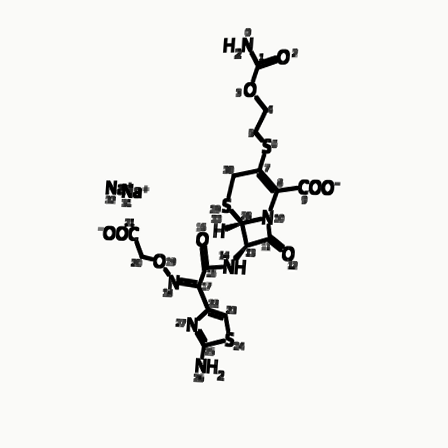 NC(=O)OCCSC1=C(C(=O)[O-])N2C(=O)[C@@H](NC(=O)/C(=N\OCC(=O)[O-])c3csc(N)n3)[C@@H]2SC1.[Na+].[Na+]